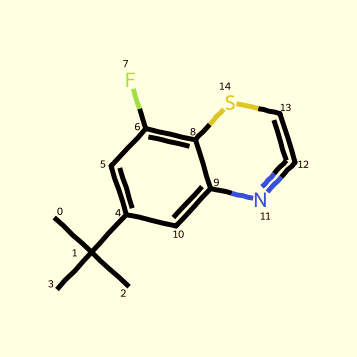 CC(C)(C)c1cc(F)c2c(c1)N=C=CS2